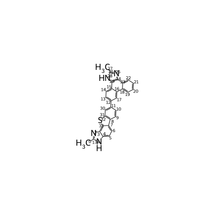 Cc1nc2c(ccc3c4ccc(-c5ccc6c(c5)c5ccccc5c5nc(C)[nH]c65)cc4sc32)[nH]1